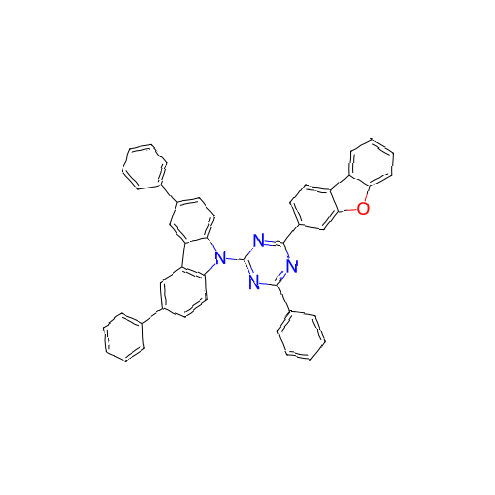 c1ccc(-c2ccc3c(c2)c2cc(-c4ccccc4)ccc2n3-c2nc(-c3ccccc3)nc(-c3ccc4c(c3)oc3ccccc34)n2)cc1